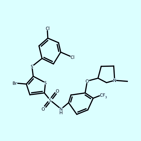 CN1CCC(Oc2cc(NS(=O)(=O)c3cc(Br)c(Sc4cc(Cl)cc(Cl)c4)s3)ccc2C(F)(F)F)C1